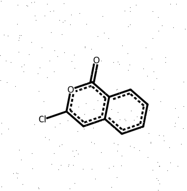 O=c1oc(Cl)cc2ccccc12